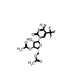 CC(=O)OC[C@H]1O[C@@H](n2cc(C(F)(F)F)c(N)nc2=O)[C@@H](O)[C@@H]1OC(C)=O